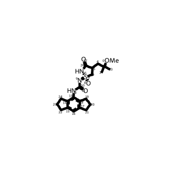 COC(C)(C)CC1CS(=O)(=NC(=O)Nc2c3c(cc4c2CCC4)CCC3)NC1=O